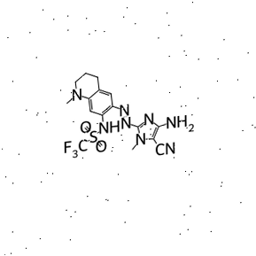 CN1CCCc2cc(N=Nc3nc(N)c(C#N)n3C)c(NS(=O)(=O)C(F)(F)F)cc21